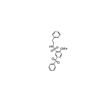 COc1ccc(S(=O)(=O)c2ccccc2)cc1S(=O)(=O)NCCc1ccccc1